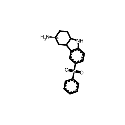 N[C@H]1CCC2Nc3ccc(S(=O)(=O)c4ccccc4)cc3C2C1